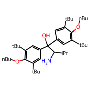 CCCCOc1c(C(C)(C)C)cc(C(O)(c2cc(C(C)(C)C)c(OCCCC)c(C(C)(C)C)c2)C(N)C(C)C)cc1C(C)(C)C